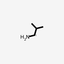 CC(C)[C]N